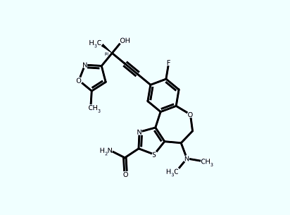 Cc1cc([C@](C)(O)C#Cc2cc3c(cc2F)OCC(N(C)C)c2sc(C(N)=O)nc2-3)no1